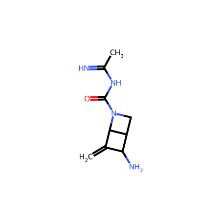 C=C1C(N)C2CN(C(=O)NC(C)=N)C12